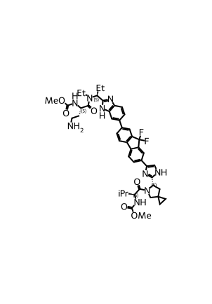 CC[C@@H](c1nc2ccc(-c3ccc4c(c3)C(F)(F)c3cc(-c5c[nH]c([C@@H]6CC7(CC7)CN6C(=O)[C@@H](NC(=O)OC)C(C)C)n5)ccc3-4)cc2[nH]1)N(CC)C(=O)[C@H](CCN)NC(=O)OC